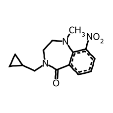 CN1CCN(CC2CC2)C(=O)c2cccc([N+](=O)[O-])c21